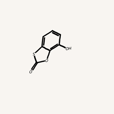 O=c1oc2c(O)cccc2s1